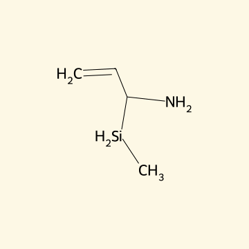 C=CC(N)[SiH2]C